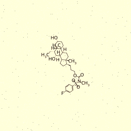 CC[C@H]1[C@@H](O)[C@@H]2[C@H](CC[C@]3(C)[C@@H](CCCOC(=O)N(C)S(=O)(=O)c4ccc(F)cc4)CC[C@@H]23)[C@@]2(C)CC[C@@H](O)C[C@@H]12